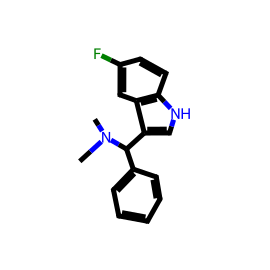 CN(C)C(c1ccccc1)c1c[nH]c2ccc(F)cc12